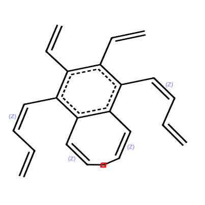 C=C/C=C\c1c(C=C)c(C=C)c(/C=C\C=C)c(/C=C\C)c1/C=C\C